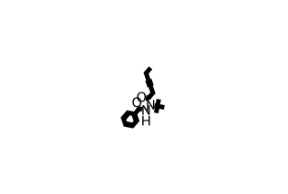 CCC#CCC(=O)N(NC(=O)c1ccccc1)C(C)(C)C